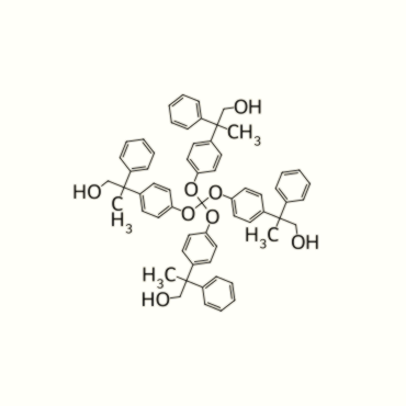 CC(CO)(c1ccccc1)c1ccc(OC(Oc2ccc(C(C)(CO)c3ccccc3)cc2)(Oc2ccc(C(C)(CO)c3ccccc3)cc2)Oc2ccc(C(C)(CO)c3ccccc3)cc2)cc1